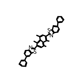 Cc1cc(-c2nc3ccc(-c4ccccc4)cc3s2)c(C)c2c(C)cc(-c3nc4ccc(-c5ccccc5)cc4s3)c(C)c12